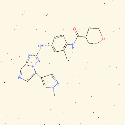 Cc1cc(Nc2nc3cncc(-c4cnn(C)c4)n3n2)ccc1NC(=O)C1CCOCC1